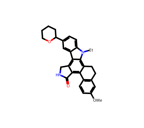 CCn1c2ccc(C3CCCCO3)cc2c2c3c(c4c(c21)CCc1cc(OC)ccc1-4)C(=O)NC3